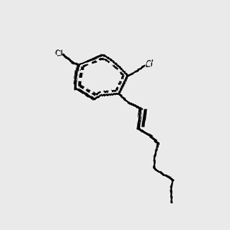 CCCC/C=C/c1ccc(Cl)cc1Cl